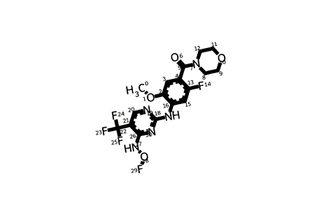 COc1cc(C(=O)N2CCOCC2)c(F)cc1Nc1ncc(C(F)(F)F)c(NOF)n1